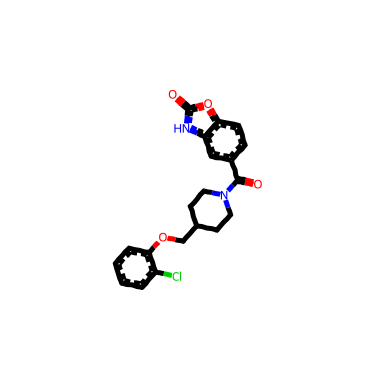 O=C(c1ccc2oc(=O)[nH]c2c1)N1CCC(COc2ccccc2Cl)CC1